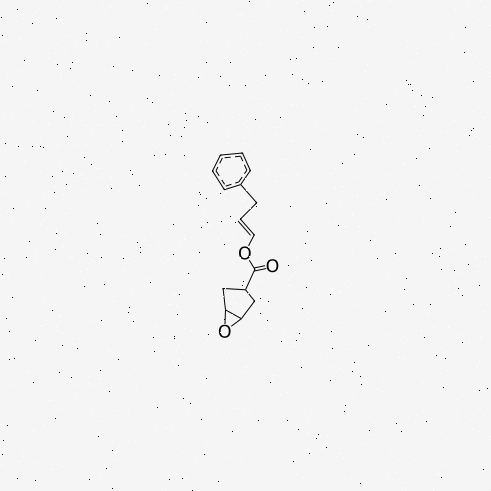 O=C(OC=CCc1ccccc1)C1CC2OC2C1